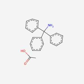 CC(=O)O.NC(c1ccccc1)(c1ccccc1)c1ccccc1